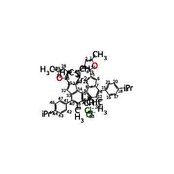 Cc1ccc(C2=Cc3c(cc(C)c(C)c3-c3ccc(C(C)C)cc3)[CH]2[Zr+2]([CH]2C(c3ccc(C)o3)=Cc3c2cc(C)c(C)c3-c2ccc(C(C)C)cc2)=[Si](C)C)o1.[Cl-].[Cl-]